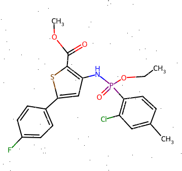 CCOP(=O)(Nc1cc(-c2ccc(F)cc2)sc1C(=O)OC)c1ccc(C)cc1Cl